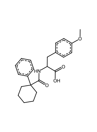 COc1ccc(CC(NC(=O)C2(c3ccccc3)CCCCC2)C(=O)O)cc1